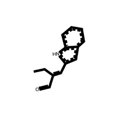 CC/C(C=O)=C\c1cc2ccccc2[nH]1